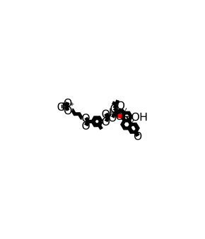 Cc1cc(C(=O)OCCCCO[N+](=O)[O-])ccc1OC(=O)OCC(=O)[C@@]12OC(C)(C)O[C@@H]1CC1C3CCC4=CC(=O)C=C[C@]4(C)[C@@]3(F)[C@@H](O)C[C@@]12C